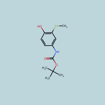 CSc1cc(NC(=O)OC(C)(C)C)ccc1O